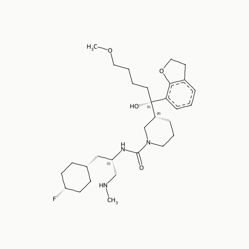 CNC[C@H](C[C@H]1CC[C@@H](F)CC1)NC(=O)N1CCC[C@@H]([C@@](O)(CCCCOC)c2cccc3c2OCC3)C1